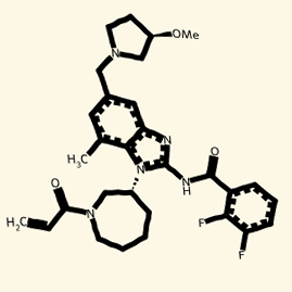 C=CC(=O)N1CCCC[C@@H](n2c(NC(=O)c3cccc(F)c3F)nc3cc(CN4CC[C@@H](OC)C4)cc(C)c32)C1